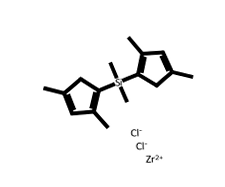 CC1=CC(C)=C([Si](C)(C)C2=C(C)C=C(C)C2)C1.[Cl-].[Cl-].[Zr+2]